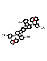 CC(C)(C)c1ccc(N(c2ccccc2)c2ccc3c4cc5c(cc4n4c6c(C(C)(C)C)cccc6c2c34)c2ccc(N(c3ccccc3)c3ccc(C(C)(C)C)cc3-c3ccccc3)c3c4cccc(C(C)(C)C)c4n5c23)c(-c2ccccc2)c1